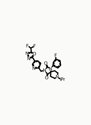 CC(C)N1CCC2(CC1)C(=O)N(Cc1ccc(-c3nnc(C(F)F)o3)cn1)C(=O)N2c1cccc(F)c1